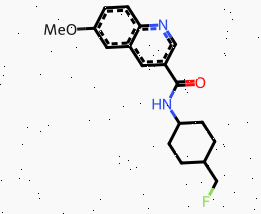 COc1ccc2ncc(C(=O)NC3CCC(CF)CC3)cc2c1